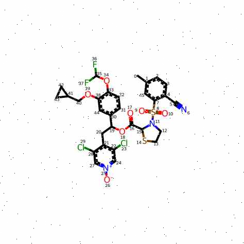 Cc1ccc(C#N)c(S(=O)(=O)N2CCSC2C(=O)OC(Cc2c(Cl)c[n+]([O-])cc2Cl)c2ccc(OC(F)F)c(OCC3CC3)c2)c1